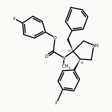 CN(C(=O)Oc1ccc(F)cc1)[C@]1(Cc2ccccc2)CNC[C@H]1c1ccc(F)cc1